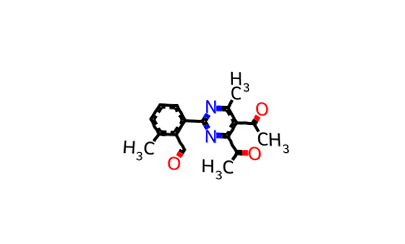 CC(=O)c1nc(-c2cccc(C)c2C=O)nc(C)c1C(C)=O